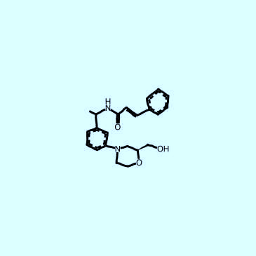 CC(NC(=O)C=Cc1ccccc1)c1cccc(N2CCO[C@H](CO)C2)c1